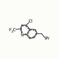 CC(C)Cc1ccc2nc(C(F)(F)F)cc(Cl)c2c1